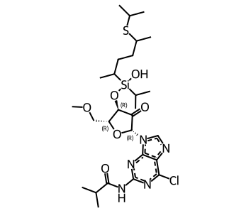 COC[C@H]1O[C@@H](n2cnc3c(Cl)nc(NC(=O)C(C)C)nc32)C(=O)[C@@H]1O[Si](O)(C(C)C)C(C)CCC(C)SC(C)C